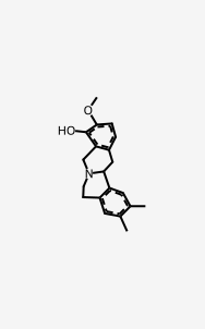 COc1ccc2c(c1O)CN1CCc3cc(C)c(C)cc3C1C2